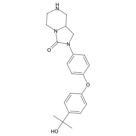 CC(C)(O)c1ccc(Oc2ccc(N3CC4CNCCN4C3=O)cc2)cc1